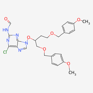 COc1ccc(COCCC(COCc2ccc(OC)cc2)On2cnc3c(Cl)nc(NC=O)nc32)cc1